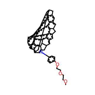 COCCOCCOc1ccc(N2CC3C4=c5c6c7c8c9c%10c(cc%11c%12c%13c%14c%15c(cc%16c%17c(c5c7c(c%17%15)c%14c8c%12%10)=C(C4)C%16)=CC%13C%11)=CC4CC3(C2)C=6C94)cc1